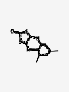 Cc1cc(C)c2nc3sc(=O)sc3nc2c1